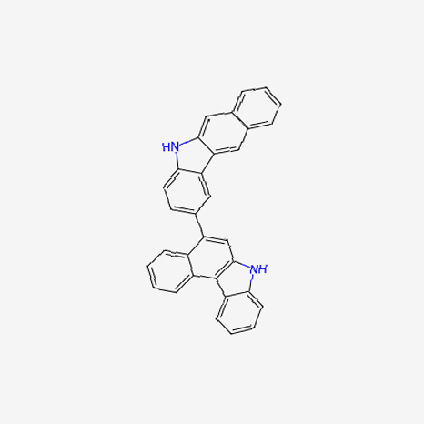 c1ccc2cc3c(cc2c1)[nH]c1ccc(-c2cc4[nH]c5ccccc5c4c4ccccc24)cc13